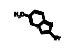 Cc1ccc2nc(C(C)C)cn2c1